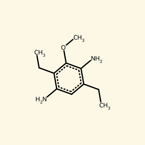 CCc1cc(N)c(CC)c(OC)c1N